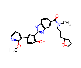 COc1ncccc1-c1ccc(O)c(-c2nc3cc(C(=O)N(C)CCCC4CCCO4)ccc3[nH]2)c1